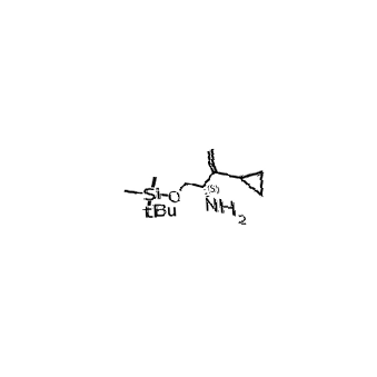 C=C(C1CC1)[C@H](N)CO[Si](C)(C)C(C)(C)C